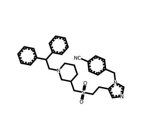 N#Cc1ccc(Cn2cncc2CCS(=O)(=O)CC2CCCN(CC(c3ccccc3)c3ccccc3)C2)cc1